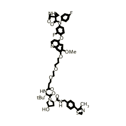 COc1cc2c(Oc3ccc(N(C(=O)C4(C(N)=O)CC4)c4ccc(F)cc4)cc3F)ccnc2cc1OCCCOCCOCCC(=O)N[C@H](C(=O)N1C[C@H](O)C[C@H]1C(=O)NCc1ccc(-c2scnc2C)cc1)C(C)(C)C